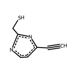 C#Cc1ccnc(CS)n1